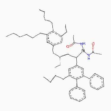 CCCCCCc1cc(CC(CC)C[CH](c2cc(CCCC)c(-c3ccccc3)c(-c3ccccc3)c2)[Ni]([NH]C(C)=O)[NH]C(C)=O)cc(CC)c1CCCC